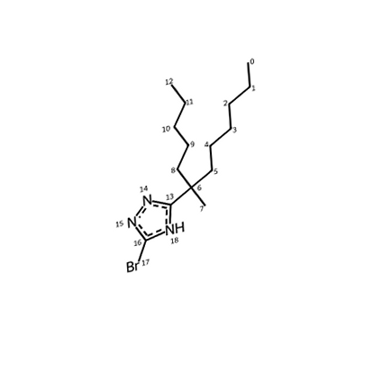 CCCCCCC(C)(CCCCC)c1nnc(Br)[nH]1